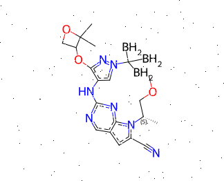 BC(B)(B)n1cc(Nc2ncc3cc(C#N)n([C@@H](C)COC)c3n2)c(OC2COC2(C)C)n1